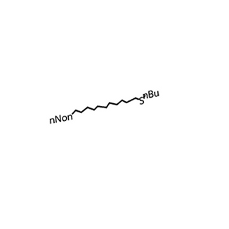 CCCCCCCCCCCCCCCCCCCCSCCCC